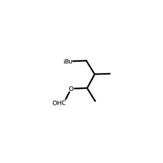 CCC(C)CC(C)C(C)OC=O